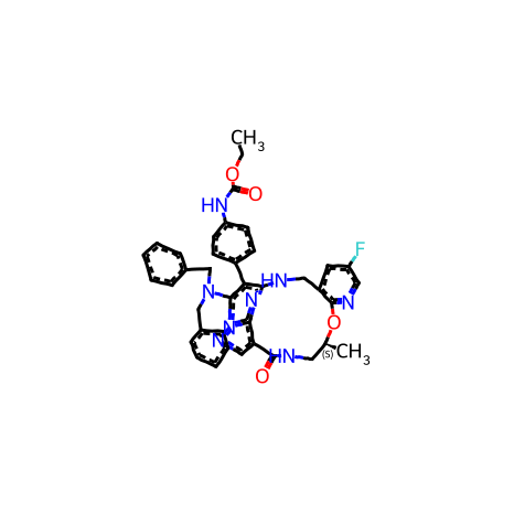 CCOC(=O)Nc1ccc(-c2c3nc4c(cnn4c2N(Cc2ccccc2)Cc2ccccc2)C(=O)NC[C@H](C)Oc2ncc(F)cc2CN3)cc1